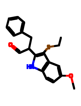 CCSc1c(C(C=O)Cc2ccccc2)[nH]c2ccc(OC)cc12